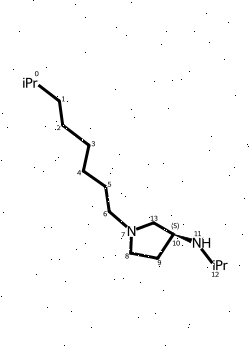 CC(C)CCCCCCN1CC[C@H](NC(C)C)C1